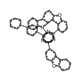 c1ccc(-c2ccc(-c3nc(-c4ccc5oc6ccccc6c5c4)nc(-c4cccc5oc6ccc7c8ccccc8n(-c8ccccc8)c7c6c45)n3)cc2)cc1